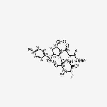 CO[C@H](C)[C@H](NC(=O)[C@H](C)N(C)C(=O)OC(C)(C)C)C(=O)N1CC(Oc2ccc(F)cc2)C[C@H]1C=O